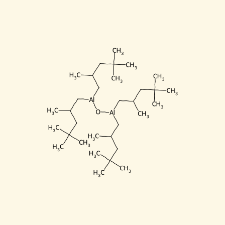 CC([CH2][Al]([CH2]C(C)CC(C)(C)C)[O][Al]([CH2]C(C)CC(C)(C)C)[CH2]C(C)CC(C)(C)C)CC(C)(C)C